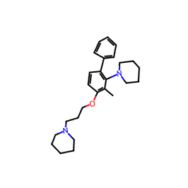 Cc1c(OCCCN2CCCCC2)ccc(-c2ccccc2)c1N1CCCCC1